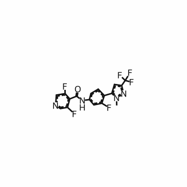 Cn1nc(C(F)(F)F)cc1-c1ccc(NC(=O)c2c(F)cncc2F)cc1F